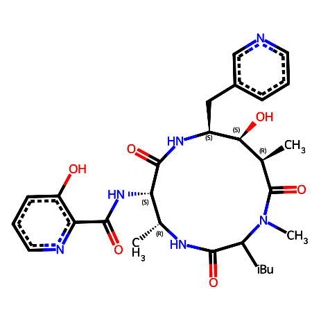 CCC(C)C1C(=O)N[C@H](C)[C@H](NC(=O)c2ncccc2O)C(=O)N[C@@H](Cc2cccnc2)[C@@H](O)[C@@H](C)C(=O)N1C